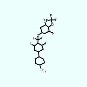 CC1CCC(C2CC(F)C(C(F)(F)OC3CC(F)C(OC(F)(F)F)C(F)C3)C(F)C2)CC1